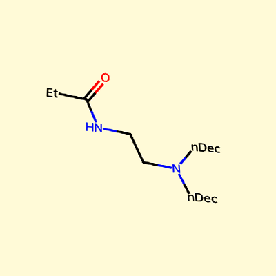 CCCCCCCCCCN(CCCCCCCCCC)CCNC(=O)CC